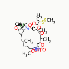 COc1cc2cc(c1Cl)N(C)C(=O)CC(OC(=O)C(C)SSC)C1(C)OC1C(C)C1CC(O)(NC(=O)O1)C(OC)/C=C/C=C(\C)C2